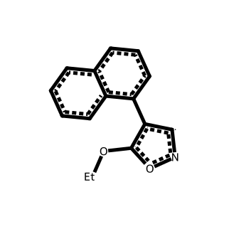 CCOc1on[c]c1-c1cccc2ccccc12